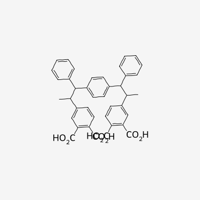 CC(c1ccc(C(=O)O)c(C(=O)O)c1)C(c1ccccc1)c1ccc(C(c2ccccc2)C(C)c2ccc(C(=O)O)c(C(=O)O)c2)cc1